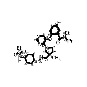 CCN(C(=O)c1cc(F)ccc1Oc1cncnc1N1CC[C@@](C)(CNC[C@H]2CC[C@H](NS(=O)(=O)CC)CC2)C1)C(C)C